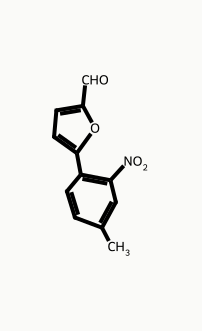 Cc1ccc(-c2ccc(C=O)o2)c([N+](=O)[O-])c1